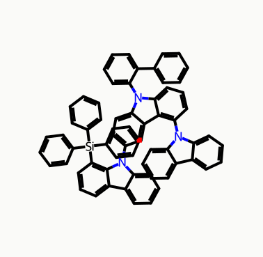 c1ccc(-c2ccccc2-n2c3ccc(-n4c5ccccc5c5cccc([Si](c6ccccc6)(c6ccccc6)c6ccccc6)c54)cc3c3c(-n4c5ccccc5c5ccccc54)cccc32)cc1